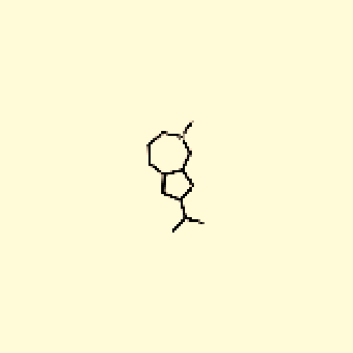 CC(C)C1CC2CCCN(C)CC2C1